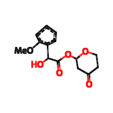 COc1ccccc1C(O)C(=O)OC1CC(=O)CCO1